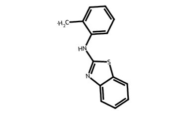 [CH2]c1ccccc1Nc1nc2ccccc2s1